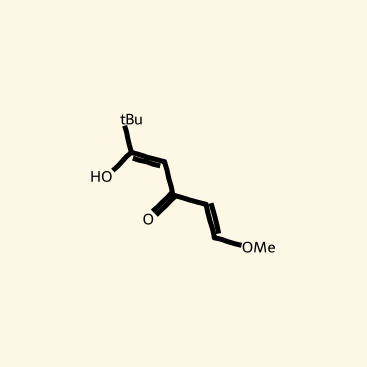 COC=CC(=O)C=C(O)C(C)(C)C